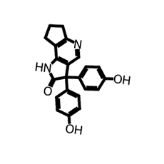 O=C1Nc2c(cnc3c2CCC3)C1(c1ccc(O)cc1)c1ccc(O)cc1